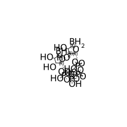 B[C@@H]1O[C@H](COP(=O)(O)OP(=O)(O)OP(=O)(O)OP(=O)(O)OC[C@H]2O[C@@H](B)C(O)[C@H]2O)C(O)C1O